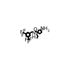 CCC[C@]1(C(=O)NCc2cc(C(F)(F)F)cc(C(F)(F)F)c2)CC[C@@H](N)C1